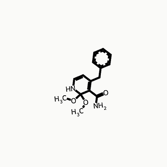 COC1(OC)NC=CC(Cc2ccccc2)=C1C(N)=O